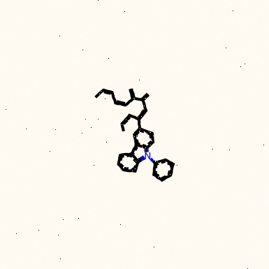 C=C(/C=C\C=C/C)C(=C)/C=C(\C=C/C)c1ccc2c(c1)c1ccccc1n2-c1ccccc1